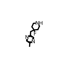 Cc1cnc(CC2(F)CCNCC2)cn1